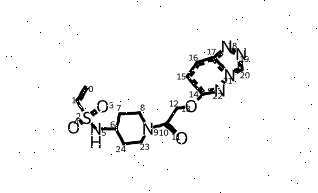 C=CS(=O)(=O)NC1CCN(C(=O)COc2ccc3nncn3n2)CC1